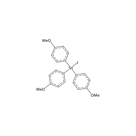 COc1cc[c]([Sn]([I])([c]2ccc(OC)cc2)[c]2ccc(OC)cc2)cc1